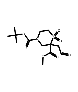 COC(=O)C1(CC=O)CN(C(=O)OC(C)(C)C)CCS1(=O)=O